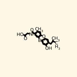 Cc1cc(Oc2ccc(O)c(CC(C)C)c2)c(Br)cc1C(=O)NCC(=O)O